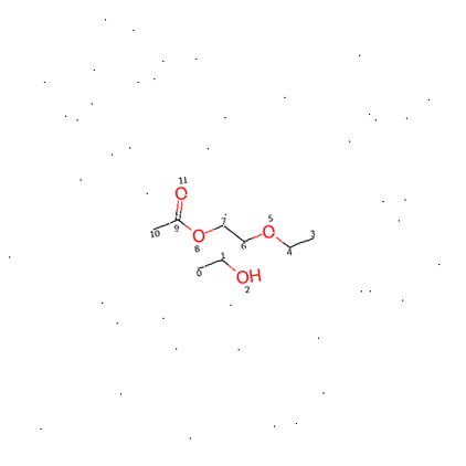 CCO.CCOCCOC(C)=O